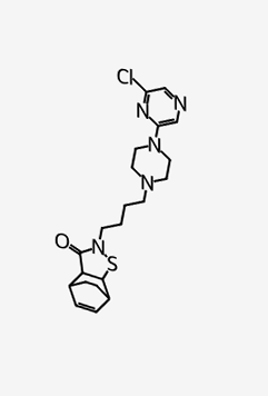 O=C1C2C3C=CC(CC3)C2SN1CCCCN1CCN(c2cncc(Cl)n2)CC1